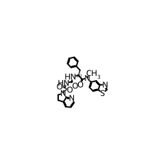 CN(C(=O)[C@H](Cc1ccccc1)NC(=O)NS(=O)(=O)N1CCc2cccnc21)c1ccc2scnc2c1